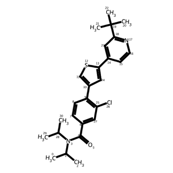 CC(C)N(C(=O)c1ccc(-c2csc(-c3ccnc(C(C)(C)C)c3)c2)c(Cl)c1)C(C)C